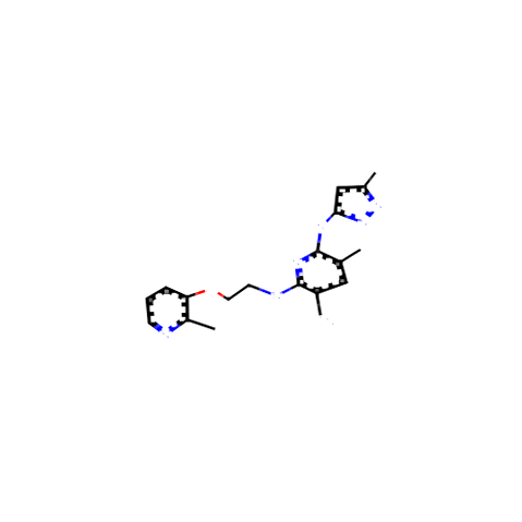 CCc1cc(Nc2nc(NCCOc3cccnc3C)c(C#N)cc2C)n[nH]1